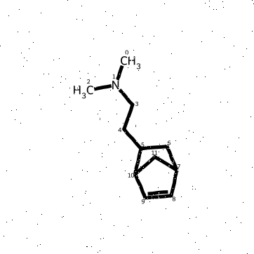 CN(C)CCC1CC2C=CC1C2